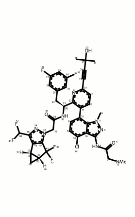 CNCC(=O)Nc1nn(C)c2c(-c3ccc(C#CC(C)(C)O)nc3[C@H](Cc3cc(F)cc(F)c3)NC(=O)Cn3nc(C(F)F)c4c3C(F)(F)[C@@H]3C[C@H]43)ccc(Cl)c12